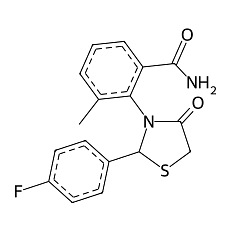 Cc1cccc(C(N)=O)c1N1C(=O)CSC1c1ccc(F)cc1